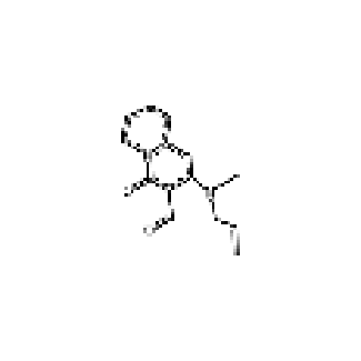 C=CCN(C)c1nc2ccccn2c(=O)c1C=O